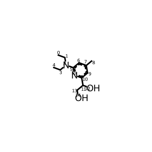 CCN(CC)c1cc(C)cc(C(O)CO)n1